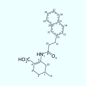 CC1CCC(C(=O)O)=C(NC(=O)CCc2ccc3ccccc3c2)C1